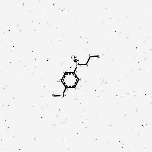 CCC[PH](=O)c1ccc(OC)cc1